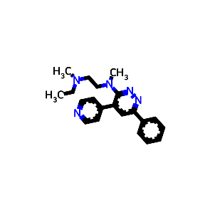 CCN(C)CCN(C)c1nnc(-c2ccccc2)cc1-c1ccncc1